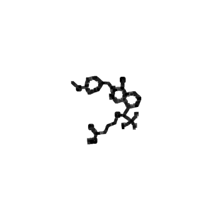 COc1ccc(Cn2ncc3c(C(OCCCC(=O)O)C(F)(F)F)cccc3c2=O)cc1